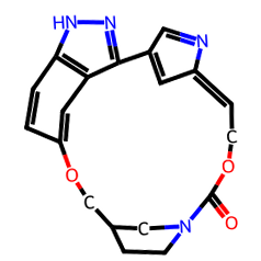 O=C1OCC=C2C=C(C=N2)c2n[nH]c3ccc(cc23)OCC2CCN1C2